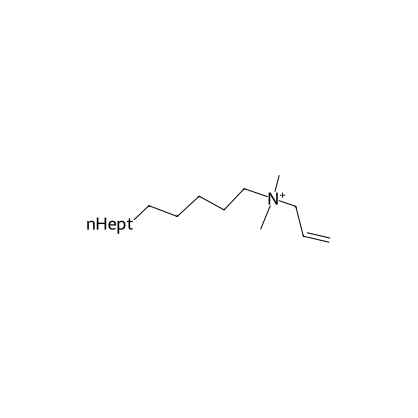 C=CC[N+](C)(C)CCCCCCCCCCCC